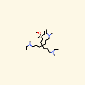 CCN(C)CCCC(CCCN(C)CC)(CCCN(C)CC)CC[Si](C)(CC)OC